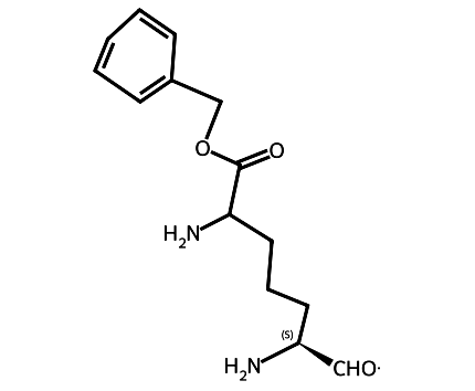 NC(CCC[C@H](N)[C]=O)C(=O)OCc1ccccc1